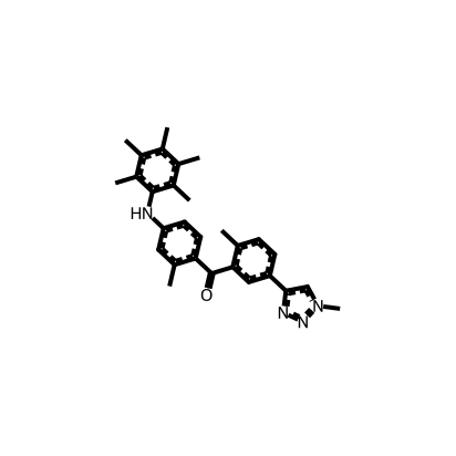 Cc1cc(Nc2c(C)c(C)c(C)c(C)c2C)ccc1C(=O)c1cc(-c2cn(C)nn2)ccc1C